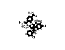 CC(C)(C)C[C@@H]1N(c2cc(C(N)=O)ccc2C(N)=O)[C@H](C(=O)O)[C@H](c2cccc(Cl)c2F)C12C(=O)Nc1cc(Cl)c(F)cc12